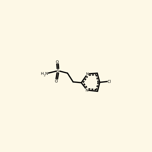 NS(=O)(=O)CCc1ncc(Cl)cn1